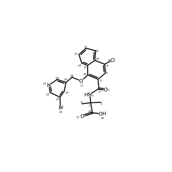 CC(C)(NC(=O)c1cc(Cl)c2ccccc2c1OCc1cncc(Br)c1)C(=O)O